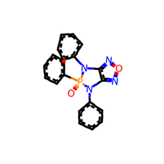 O=P1(c2ccccc2)N(c2ccccc2)c2nonc2N1c1ccccc1